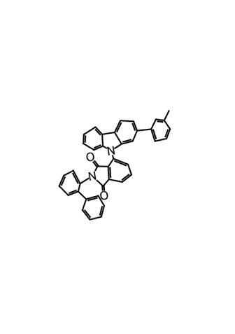 Cc1cccc(-c2ccc3c4ccccc4n(-c4cccc5c4C(=O)N(c4ccccc4-c4ccccc4)C5=O)c3c2)c1